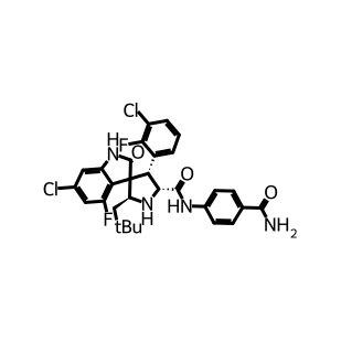 CC(C)(C)C[C@@H]1N[C@@H](C(=O)Nc2ccc(C(N)=O)cc2)[C@@H](c2cccc(Cl)c2F)C12C(=O)Nc1cc(Cl)cc(F)c12